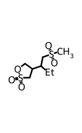 CCC(CS(C)(=O)=O)C1COS(=O)(=O)C1